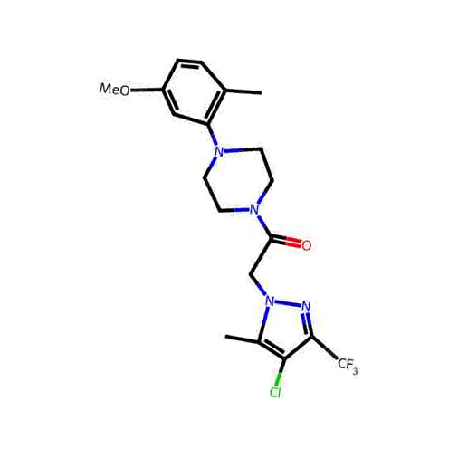 COc1ccc(C)c(N2CCN(C(=O)Cn3nc(C(F)(F)F)c(Cl)c3C)CC2)c1